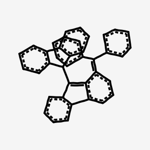 c1ccc(C(c2ccccc2)=c2cccc3c2=C(C2c4ccccc4-c4ccccc42)c2ccccc2-3)cc1